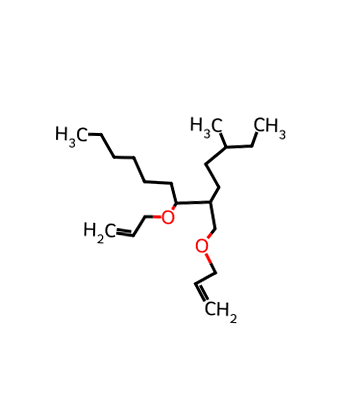 C=CCOCC(CCC(C)CC)C(CCCCCC)OCC=C